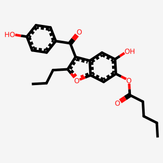 CCCCC(=O)Oc1cc2oc(CCC)c(C(=O)c3ccc(O)cc3)c2cc1O